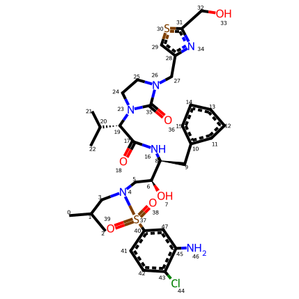 CC(C)CN(C[C@H](O)[C@H](Cc1ccccc1)NC(=O)[C@H](C(C)C)N1CCN(Cc2csc(CO)n2)C1=O)S(=O)(=O)c1ccc(Cl)c(N)c1